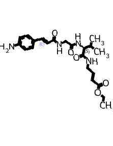 CCOC(=O)CCCNC(=O)[C@@H](NC(=O)CNC(=O)/C=C/c1ccc(N)cc1)C(C)C